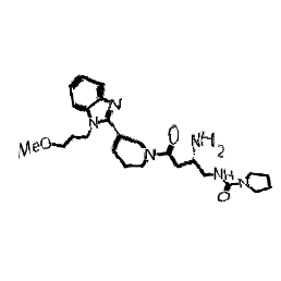 COCCCn1c([C@@H]2CCCN(C(=O)C[C@H](N)CNC(=O)N3CCCC3)C2)nc2ccccc21